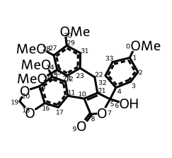 COc1ccc(C2(O)OC(=O)C(c3cc(OC)c4c(c3)OCO4)=C2Cc2cc(OC)c(OC)c(OC)c2)cc1